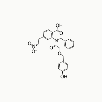 O=C(O)c1ccc(CC[N+](=O)[O-])cc1N(Cc1ccccc1)C(=O)COCc1ccc(O)cc1